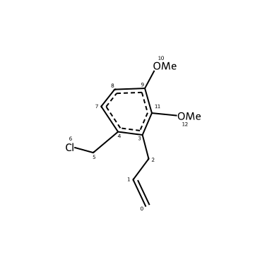 C=CCc1c(CCl)ccc(OC)c1OC